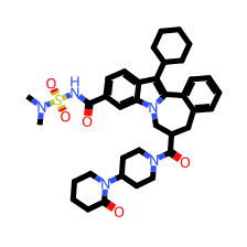 CN(C)S(=O)(=O)NC(=O)c1ccc2c(C3CCCCC3)c3n(c2c1)CC(C(=O)N1CCC(N2CCCCC2=O)CC1)Cc1ccccc1-3